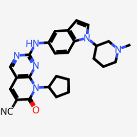 CN1CCCC(n2ccc3cc(Nc4ncc5cc(C#N)c(=O)n(C6CCCC6)c5n4)ccc32)C1